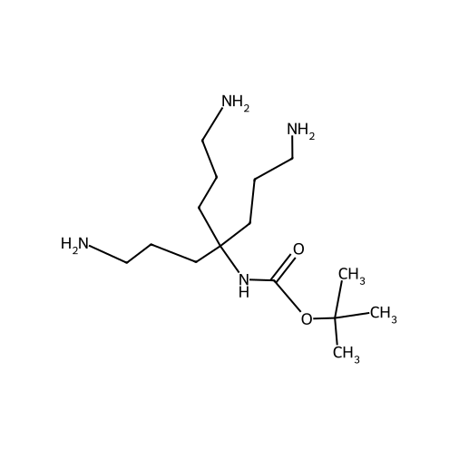 CC(C)(C)OC(=O)NC(CCCN)(CCCN)CCCN